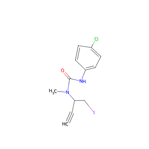 C#CC(CI)N(C)C(=O)Nc1ccc(Cl)cc1